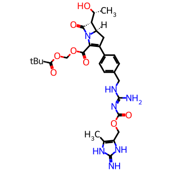 Cc1[nH]c(=N)[nH]c1COC(=O)/N=C(\N)NCc1ccc(C2=C(C(=O)OCOC(=O)C(C)(C)C)N3C(=O)[C@H]([C@@H](C)O)[C@H]3C2)cc1